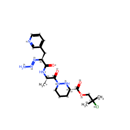 C[C@H](NC(=O)[C@H](Cc1cccnc1)N=NN)C(=O)N1CCC[C@@H](C(=O)OCC(C)(C)Cl)N1